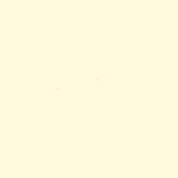 COC(=O)C(Cc1ccc(C2CCOCC2)nc1)NC(=O)OC(C)(C)C